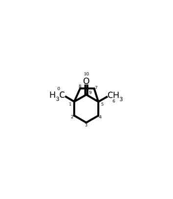 CC12CCCC(C)(CC1)C2=O